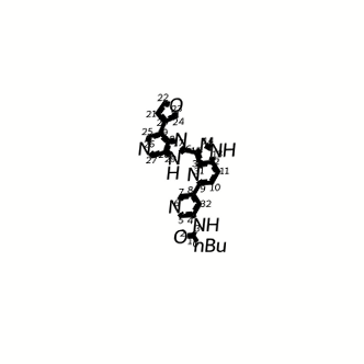 CCCCC(=O)Nc1cncc(-c2ccc3[nH]nc(-c4nc5c(-c6ccoc6)cncc5[nH]4)c3n2)c1